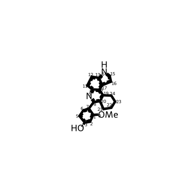 COc1cc(O)ccc1-c1nc2ccc3[nH]ccc3c2c2c1CCCC2